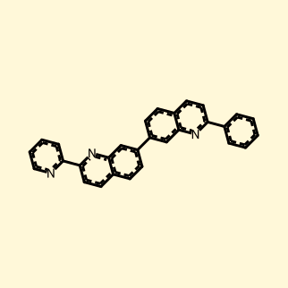 c1ccc(-c2ccc3ccc(-c4ccc5ccc(-c6ccccn6)nc5c4)cc3n2)cc1